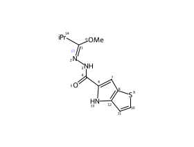 CO/C(=N\NC(=O)c1cc2sccc2[nH]1)C(C)C